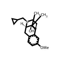 COc1ccc2c(c1)[C@]13CCN(CC4CC4)[C@H](C2)[C@]1(O)CC(C)(C)OC3